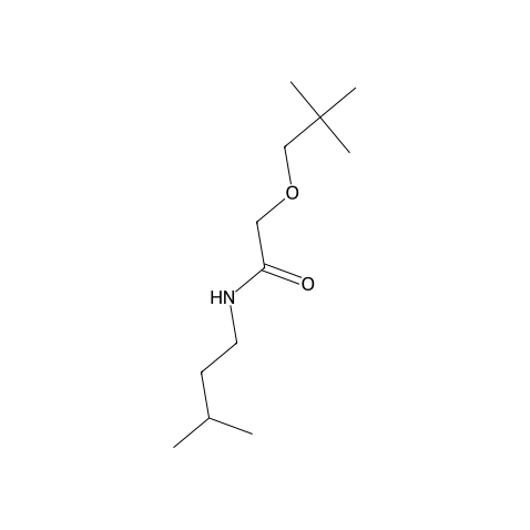 CC(C)CCNC(=O)COCC(C)(C)C